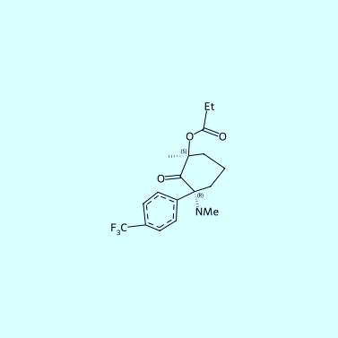 CCC(=O)O[C@@]1(C)CCC[C@@](NC)(c2ccc(C(F)(F)F)cc2)C1=O